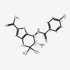 CC(=O)c1cc2c(s1)[C@@H](NC(=O)c1ccc(Cl)cc1)[C@H](O)C(C)(C)O2